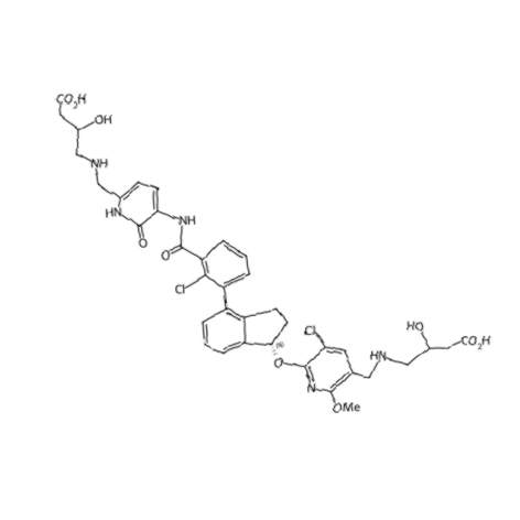 COc1nc(O[C@H]2CCc3c(-c4cccc(C(=O)Nc5ccc(CNCC(O)CC(=O)O)[nH]c5=O)c4Cl)cccc32)c(Cl)cc1CNCC(O)CC(=O)O